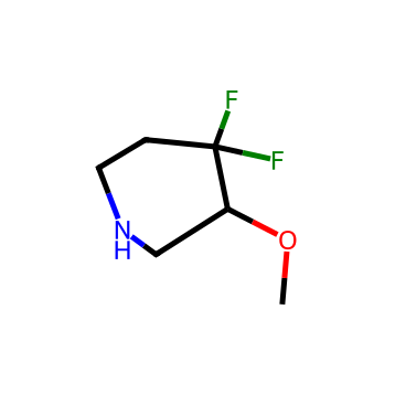 COC1CNCCC1(F)F